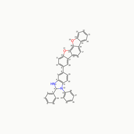 c1ccc(C2Nc3cc(-c4ccc5oc6c(ccc7c8ccccc8oc76)c5c4)ccc3N2c2ccccc2)cc1